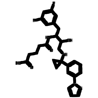 O=C(O)CCCC(=O)NC(Cc1cc(F)cc(F)c1)C(O)CNC1(c2cccc(-n3cccn3)c2)CC1